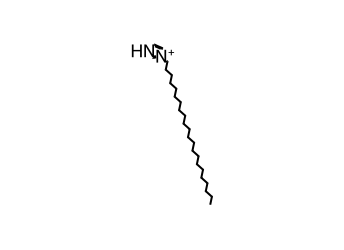 CCCCCCCCCCCCCCCCCCCCCC[n+]1cc[nH]c1